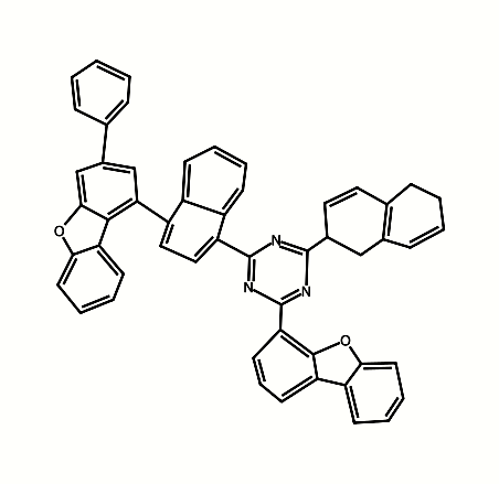 C1=CC2=C(C=CC(c3nc(-c4ccc(-c5cc(-c6ccccc6)cc6oc7ccccc7c56)c5ccccc45)nc(-c4cccc5c4oc4ccccc45)n3)C2)CC1